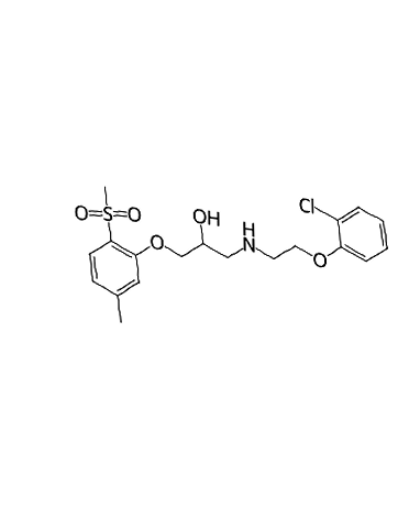 Cc1ccc(S(C)(=O)=O)c(OCC(O)CNCCOc2ccccc2Cl)c1